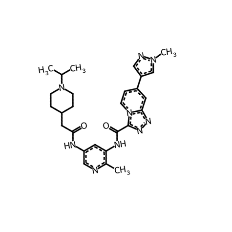 Cc1ncc(NC(=O)CC2CCN(C(C)C)CC2)cc1NC(=O)c1nnc2cc(-c3cnn(C)c3)ccn12